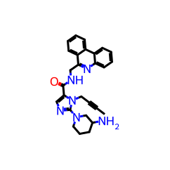 CC#CCn1c(C(=O)NCc2nc3ccccc3c3ccccc23)cnc1N1CCCC(N)C1